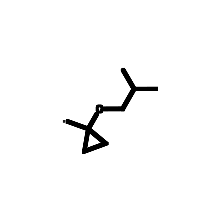 [CH2]C1(OCC(C)C)CC1